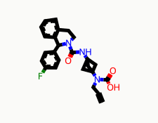 C#CCN(C(=O)O)C12CC(NC(=O)N3CCc4ccccc4C3c3ccc(F)cc3)(C1)C2